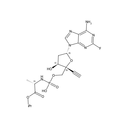 C#C[C@]1(COP(=O)(O)N[C@@H](C)C(=O)OC(C)C)O[C@@H](n2cnc3c(N)nc(F)nc32)C[C@@H]1O